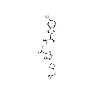 C=C(CCNC(=O)c1cn2ccc(Cl)cc2n1)c1nnc([C@H]2C[C@@H](OC(F)(F)F)C2)o1